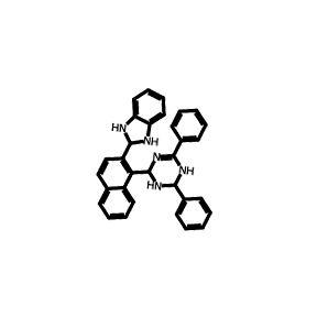 c1ccc(C2=NC(c3c(C4Nc5ccccc5N4)ccc4ccccc34)NC(c3ccccc3)N2)cc1